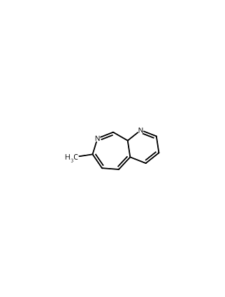 CC1=CC=C2C=CC=NC2C=N1